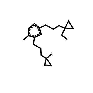 CCC1(CCCc2ccc(C)c(CCCC3(I)CC3)c2)CC1